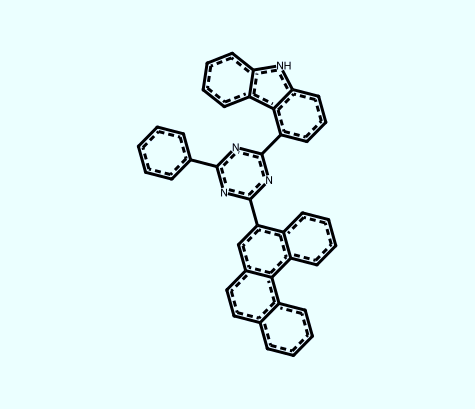 c1ccc(-c2nc(-c3cc4ccc5ccccc5c4c4ccccc34)nc(-c3cccc4[nH]c5ccccc5c34)n2)cc1